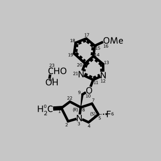 C=C1CN2C[C@@H](F)C[C@@]2(COc2ncc3c(OC)cccc3n2)C1.O=CO